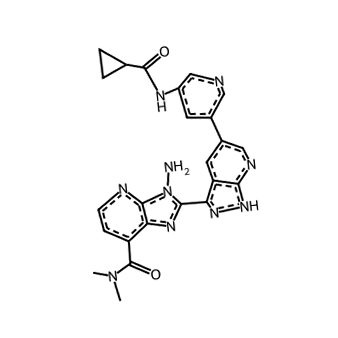 CN(C)C(=O)c1ccnc2c1nc(-c1n[nH]c3ncc(-c4cncc(NC(=O)C5CC5)c4)cc13)n2N